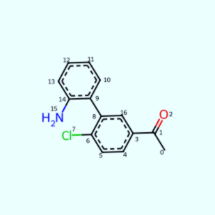 CC(=O)c1ccc(Cl)c(-c2ccccc2N)c1